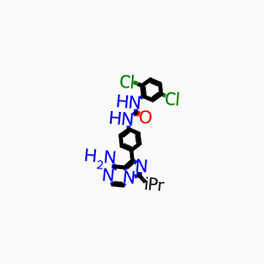 CC(C)c1nc(-c2ccc(NC(=O)Nc3cc(Cl)ccc3Cl)cc2)c2c(N)nccn12